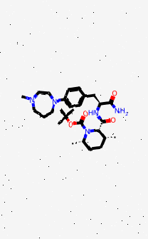 C[C@@H]1CC[C@H](C)N(C(=O)OC(C)(C)C)[C@@H]1C(=O)N[C@@H](Cc1ccc(N2CCCN(C)CC2)cc1)C(N)=O